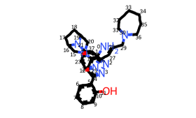 Nc1nnc(-c2ccccc2O)cc1N1CC2CCC(C1)N2c1ccnc(C=CCN2CCCCCC2)c1